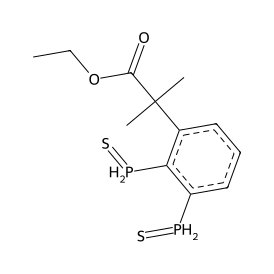 CCOC(=O)C(C)(C)c1cccc([PH2]=S)c1[PH2]=S